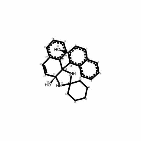 Oc1ccc2ccccc2c1C12NC3(CCCCC3)N[C@]1(O)C=Cc1ccccc12